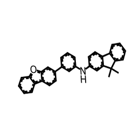 CC1(C)c2ccccc2-c2ccc(Nc3cccc(-c4ccc5c(c4)oc4ccccc45)c3)cc21